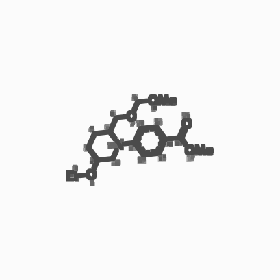 CCOC1CCC(COCOC)N(c2ccc(C(=O)OC)cc2)C1